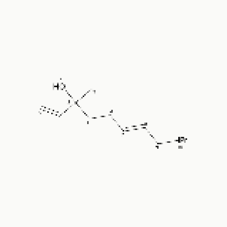 C=CC(C)(O)CCC=CCC(C)C